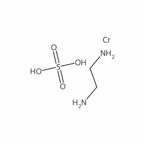 NCCN.O=S(=O)(O)O.[Cr]